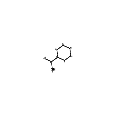 [CH2]C(S)C1CCCCC1